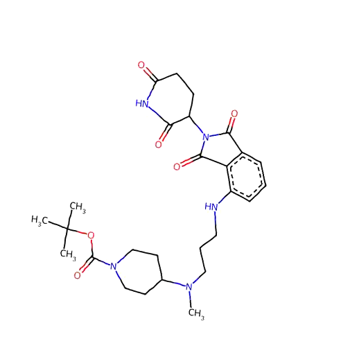 CN(CCCNc1cccc2c1C(=O)N(C1CCC(=O)NC1=O)C2=O)C1CCN(C(=O)OC(C)(C)C)CC1